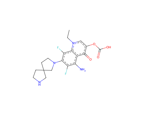 CCn1cc(OC(=O)O)c(=O)c2c(N)c(F)c(N3CCC4(CCNC4)C3)c(F)c21